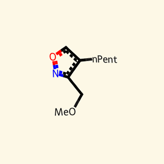 CCCCCc1conc1COC